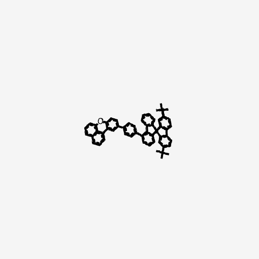 CC(C)(C)c1ccc2c(c1)C1(c3cc(C(C)(C)C)ccc3-2)c2ccccc2-c2c(-c3ccc(-c4ccc5c(c4)-c4cccc6cccc(c46)O5)cc3)cccc21